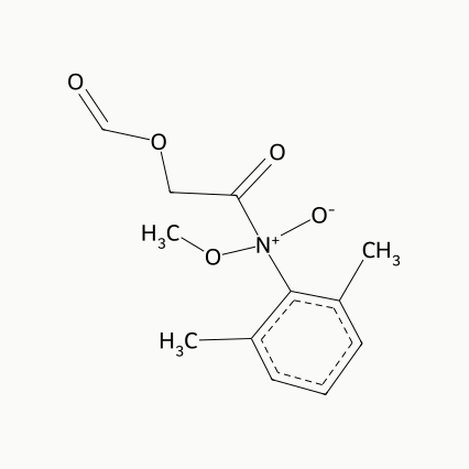 CO[N+]([O-])(C(=O)COC=O)c1c(C)cccc1C